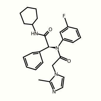 Cc1nccn1CC(=O)N(c1cccc(F)c1)[C@H](C(=O)NC1CCCCC1)c1ccccc1